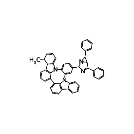 CC1C=CC=C2C1c1cccc3c4cccc5c6ccccc6n(c6cc(C7N=C(c8ccccc8)C8C(c9ccccc9)N78)ccc6n2c13)c45